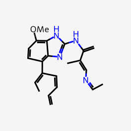 C=C/C=C\C(=C/C)c1ccc(OC)c2[nH]c(NC(=C)/C(C)=C/N=C\C)nc12